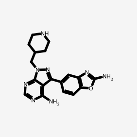 Nc1nc2cc(-c3nn(CC4CCNCC4)c4ncnc(N)c34)ccc2o1